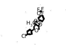 CC1(S(=O)(=O)c2cccc(OC(F)(F)F)c2)CCOC(c2ccc(Cl)cc2)C1